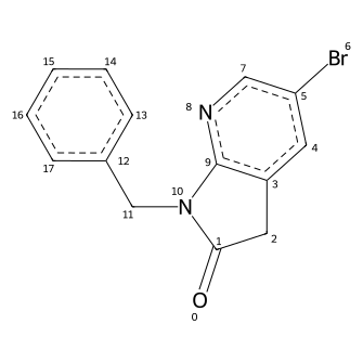 O=C1Cc2cc(Br)cnc2N1Cc1ccccc1